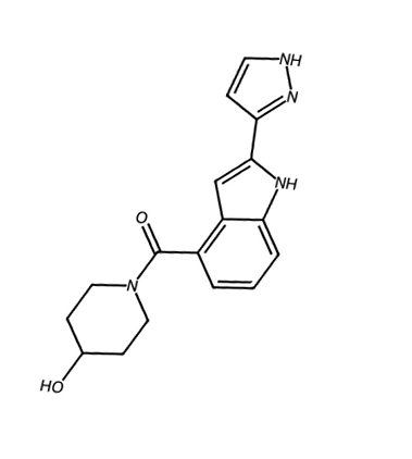 O=C(c1cccc2[nH]c(-c3cc[nH]n3)cc12)N1CCC(O)CC1